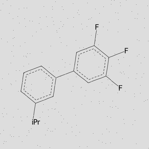 CC(C)c1cccc(-c2cc(F)c(F)c(F)c2)c1